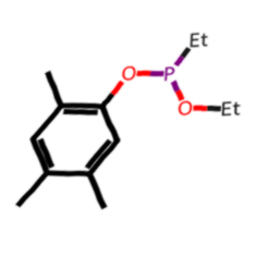 CCOP(CC)Oc1cc(C)c(C)cc1C